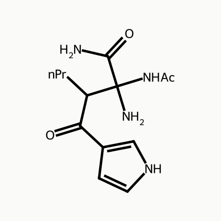 CCCC(C(=O)c1cc[nH]c1)C(N)(NC(C)=O)C(N)=O